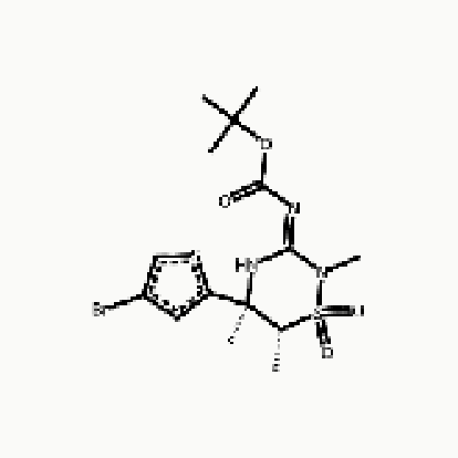 C[C@@H]1[C@@](C)(c2cc(Br)cs2)N/C(=N\C(=O)OC(C)(C)C)N(C)S1(=O)=O